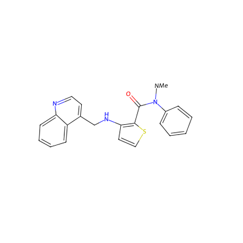 CNN(C(=O)c1sccc1NCc1ccnc2ccccc12)c1ccccc1